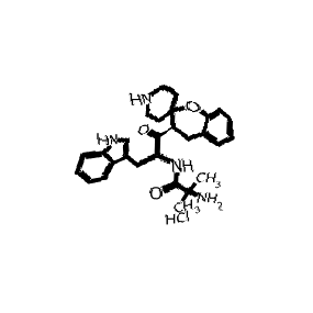 CC(C)(N)C(=O)NC(Cc1c[nH]c2ccccc12)C(=O)[C@@H]1Cc2ccccc2OC12CCNCC2.Cl